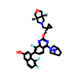 Oc1cc(-c2ccc3c(N4CC5CCC(C4)N5)nc(OCC4(CN5C[C@H]6COC[C@@H]6C5)CC4)nc3c2F)c2c(F)c(F)ccc2c1